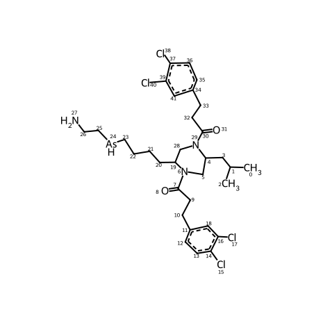 CC(C)CC1CN(C(=O)CCc2ccc(Cl)c(Cl)c2)C(CCCC[AsH]CCN)CN1C(=O)CCc1ccc(Cl)c(Cl)c1